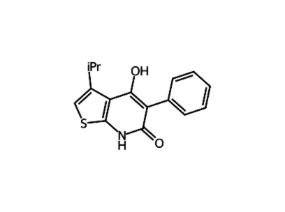 CC(C)c1csc2[nH]c(=O)c(-c3ccccc3)c(O)c12